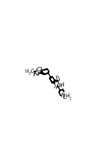 Cc1nc2cc(-c3ccc4nc(C5CCN(C)CC5)[nH]c(=O)c4c3)ccc2o1